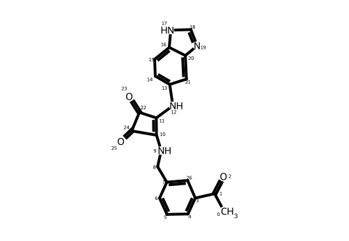 CC(=O)c1cccc(CNc2c(Nc3ccc4[nH]cnc4c3)c(=O)c2=O)c1